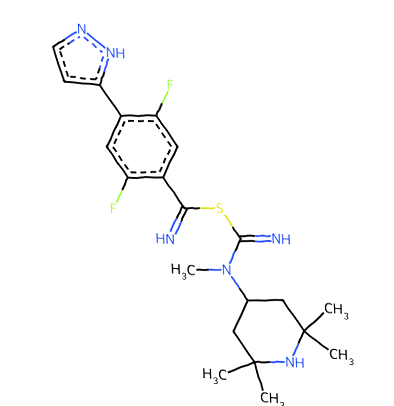 CN(C(=N)SC(=N)c1cc(F)c(-c2ccn[nH]2)cc1F)C1CC(C)(C)NC(C)(C)C1